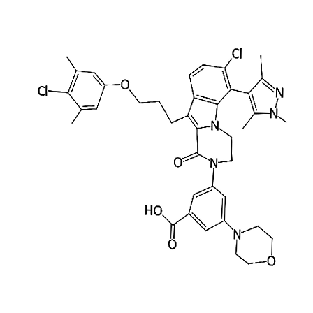 Cc1cc(OCCCc2c3n(c4c(-c5c(C)nn(C)c5C)c(Cl)ccc24)CCN(c2cc(C(=O)O)cc(N4CCOCC4)c2)C3=O)cc(C)c1Cl